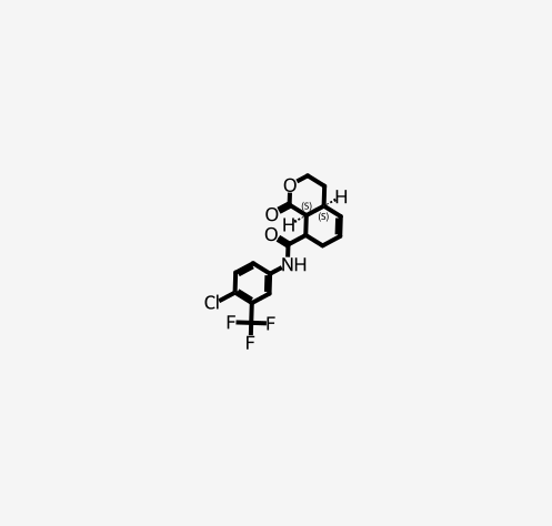 O=C(Nc1ccc(Cl)c(C(F)(F)F)c1)C1CC=C[C@@H]2CCOC(=O)[C@H]12